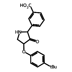 CC(C)(C)c1ccc(OC2CNC(c3cccc(C(=O)O)c3)C2=O)cc1